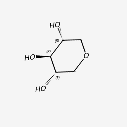 O[C@H]1[C@H](O)CO[CH][C@@H]1O